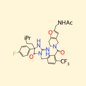 CC(=O)NCc1cc2c(o1)CCN(C(=O)c1cc(CN3C(=N)NC(CCC(C)C)(c4ccc(F)cc4)C3=O)ccc1C(F)(F)F)C2